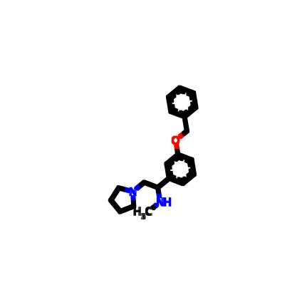 CNC(CN1CCCC1)c1cccc(OCc2ccccc2)c1